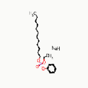 CCCCCCCCCCCCOP(=O)(OCC)Oc1ccccc1.[NaH]